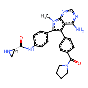 Cn1c(-c2ccc(NC(=O)[C@@H]3CN3)cc2)c(-c2ccc(C(=O)N3CCCC3)cc2)c2c(N)ncnc21